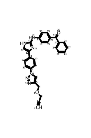 C#CCOCc1cn(-c2ccc(-c3c[nH]c(Nc4ccc(C(=O)c5ccccc5)cc4)n3)cc2)nn1